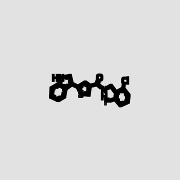 O=C(NCc1c(F)cccc1Cl)c1csc(-c2c[nH]c3ccccc23)c1